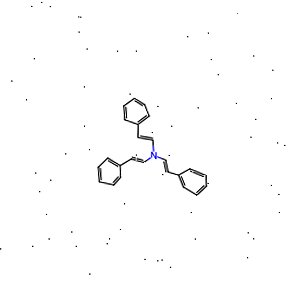 C(=C\N(/C=C/c1ccccc1)/C=C/c1ccccc1)/c1ccccc1